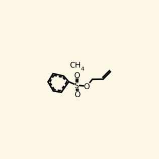 C.C=CCOS(=O)(=O)c1ccccc1